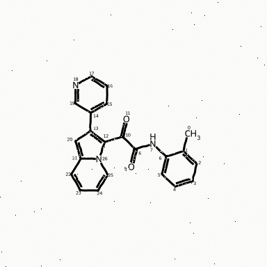 Cc1ccccc1NC(=O)C(=O)c1c(-c2cccnc2)cc2ccccn12